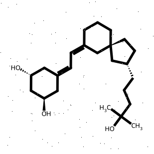 CC(C)(O)CCC[C@H]1CC[C@@]2(CCC/C(=C/C=C3C[C@@H](O)C[C@H](O)C3)C2)C1